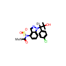 CCC(c1ccc(Cl)cc1)(n1ncc2c(N(C(=O)NC)[SH](=O)=O)cccc21)C(C)(C)O